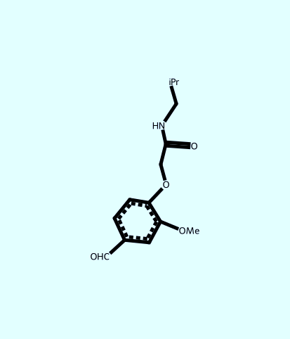 COc1cc(C=O)ccc1OCC(=O)NCC(C)C